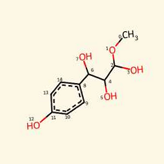 COC(O)C(O)C(O)c1ccc(O)cc1